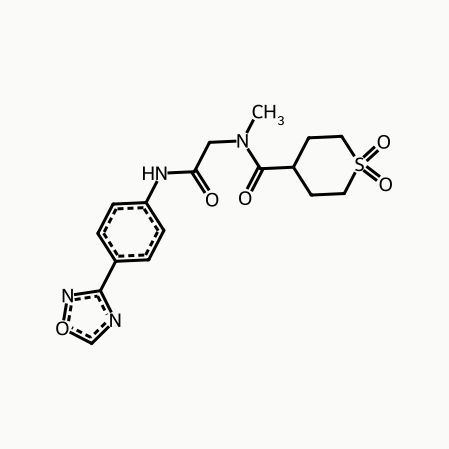 CN(CC(=O)Nc1ccc(-c2ncon2)cc1)C(=O)C1CCS(=O)(=O)CC1